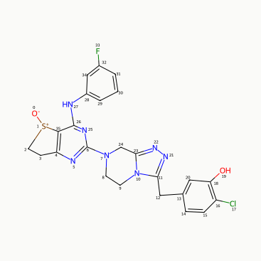 [O-][S+]1CCc2nc(N3CCn4c(Cc5ccc(Cl)c(O)c5)nnc4C3)nc(Nc3cccc(F)c3)c21